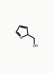 OCC1C=CC=N1